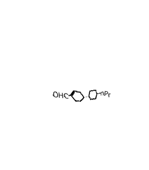 CCC[C@H]1CC[C@H](C2CC=C(C=O)CC2)CC1